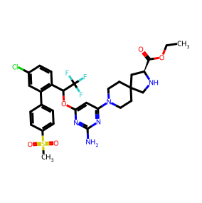 CCOC(=O)[C@@H]1CC2(CCN(c3cc(OC(c4ccc(Cl)cc4-c4ccc(S(C)(=O)=O)cc4)C(F)(F)F)nc(N)n3)CC2)CN1